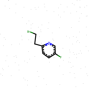 Fc1ccc(CCBr)nc1